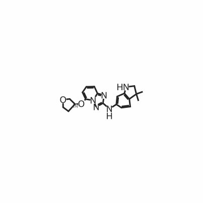 CC1(C)CNc2cc(Nc3nc4cccc(O[C@H]5CCOC5)n4n3)ccc21